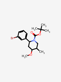 COC1CC(c2cccc(Br)c2)N(C(=O)OC(C)(C)C)CC1C